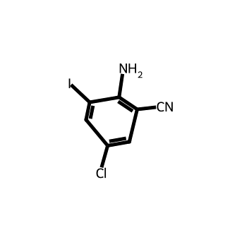 N#Cc1cc(Cl)cc(I)c1N